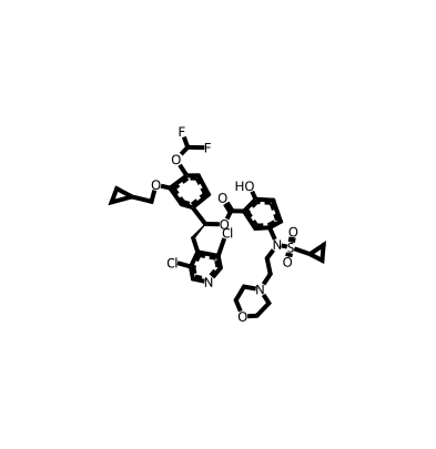 O=C(O[C@@H](Cc1c(Cl)cncc1Cl)c1ccc(OC(F)F)c(OCC2CC2)c1)c1cc(N(CCN2CCOCC2)S(=O)(=O)C2CC2)ccc1O